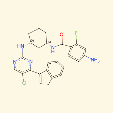 Nc1ccc(C(=O)N[C@H]2CCC[C@@H](Nc3ncc(Cl)c(C4=CCc5ccccc54)n3)C2)c(F)c1